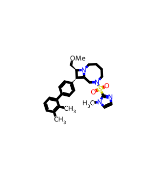 COC[C@@H]1[C@@H](c2ccc(-c3cccc(C)c3C)cc2)C2CN(S(=O)(=O)c3nccn3C)CCCCN21